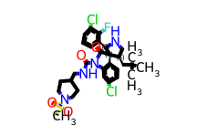 CC(C)(C)C[C@@H]1CN[C@H](c2cccc(Cl)c2F)[C@@]12C(=O)N(C(=O)NCC1CCN(S(C)(=O)=O)CC1)c1cc(Cl)ccc12